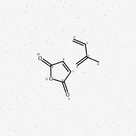 C=CC(=C)C.O=C1C=CC(=O)O1